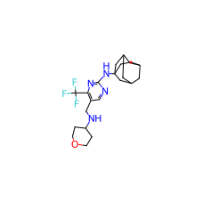 FC(F)(F)c1nc(NC23CCC4CC(CC(C4)C2)C3)ncc1CNC1CCOCC1